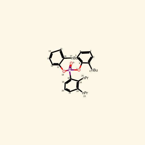 CCCCc1ccccc1OP(=O)(Oc1ccccc1CCCC)c1cccc(CCC)c1CCC